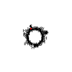 C/C=C/C[C@@H](C)[C@@H](O)[C@H]1C(=O)N[C@@H](CC)C(=O)N(C)CC(=O)N(C)[C@@H](CC(C)C)C(=O)N[C@@H](C(C)C)C(=O)N(C)[C@@H](CC(C)C)C(=O)N[C@@H](C)C(=O)N[C@H](C)C(=O)N(C)[C@@H](CC(C)C)C(=O)N(C)[C@@H](CC(C)C)C(=O)N(C)[C@@H](C(C)C)C(=O)N1C.C1CCNC1